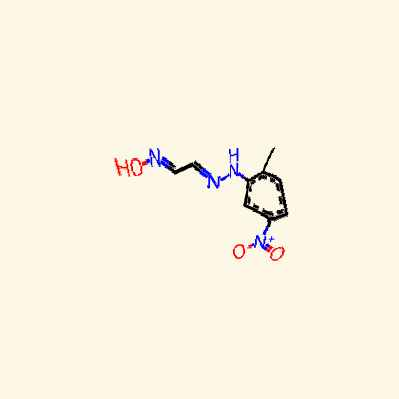 Cc1ccc([N+](=O)[O-])cc1NN=CC=NO